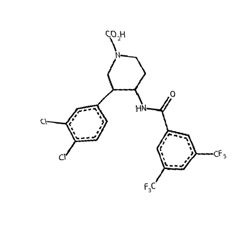 O=C(NC1CCN(C(=O)O)CC1c1ccc(Cl)c(Cl)c1)c1cc(C(F)(F)F)cc(C(F)(F)F)c1